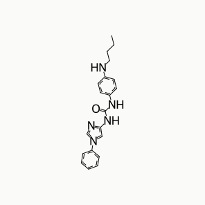 CCCCNc1ccc(NC(=O)Nc2cn(-c3ccccc3)cn2)cc1